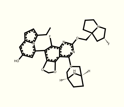 CCc1ccc2cc(O)cc(-c3c4c(c5c(N6C[C@H]7CC[C@@H](C6)N7)nc(OC[C@@]67CCCN6C[C@H](F)C7)nc5c3F)OCO4)n12